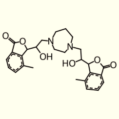 Cc1cccc2c1C(C(O)CN1CCCN(CC(O)C3OC(=O)c4cccc(C)c43)CC1)OC2=O